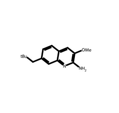 COc1cc2ccc(CC(C)(C)C)cc2nc1N